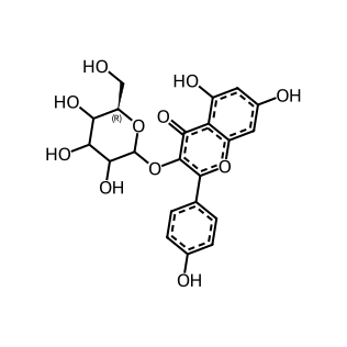 O=c1c(OC2O[C@H](CO)C(O)C(O)C2O)c(-c2ccc(O)cc2)oc2cc(O)cc(O)c12